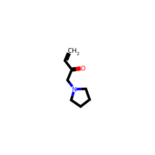 C=CC(=O)CN1CCCC1